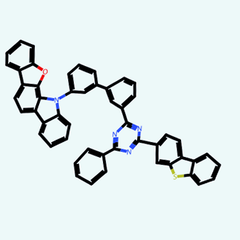 c1ccc(-c2nc(-c3cccc(-c4cccc(-n5c6ccccc6c6ccc7c8ccccc8oc7c65)c4)c3)nc(-c3ccc4c(c3)sc3ccccc34)n2)cc1